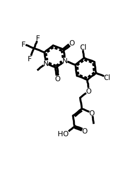 COC(=CC(=O)O)COc1cc(-n2c(=O)cc(C(F)(F)F)n(C)c2=O)c(Cl)cc1Cl